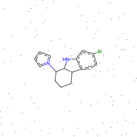 Brc1ccc2c(c1)NC1C2CCCC1n1cccc1